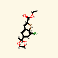 CCOC(=O)c1cc2cc(C3(C)OCCO3)cc(Br)c2s1